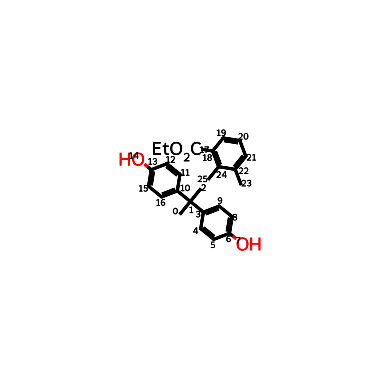 CC(C)(c1ccc(O)cc1)c1ccc(O)cc1.CCOC(=O)c1cccc(C)c1C